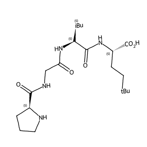 CC[C@H](C)[C@H](NC(=O)CNC(=O)[C@@H]1CCCN1)C(=O)N[C@@H](CCC(C)(C)C)C(=O)O